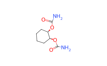 NC(=O)O[C@H]1CCCC[C@H]1OC(N)=O